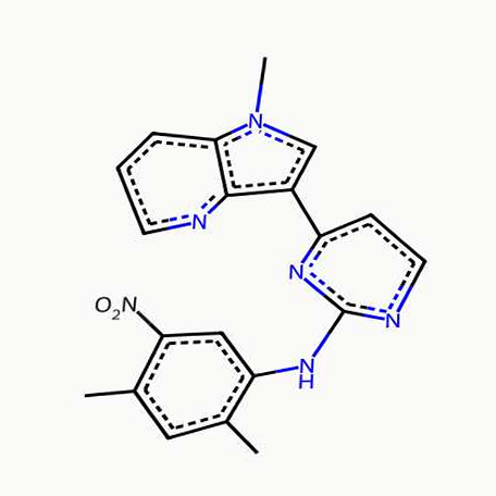 Cc1cc(C)c([N+](=O)[O-])cc1Nc1nccc(-c2cn(C)c3cccnc23)n1